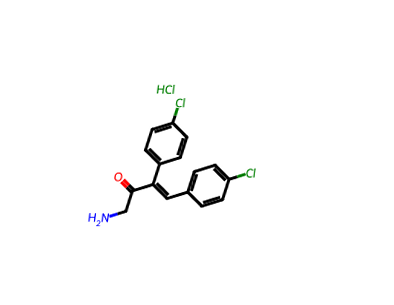 Cl.NCC(=O)/C(=C/c1ccc(Cl)cc1)c1ccc(Cl)cc1